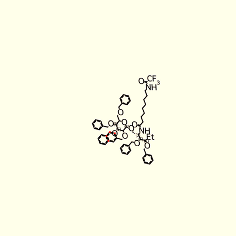 CC[C@@H](OCc1ccccc1)[C@@H](OCc1ccccc1)[C@H](CO[C@H]1OC(COCc2ccccc2)[C@H](OCc2ccccc2)[C@H](OCc2ccccc2)C1OCc1ccccc1)NC(=O)CCCCCCCCNC(=O)C(F)(F)F